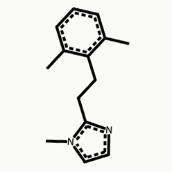 Cc1cccc(C)c1CCc1nccn1C